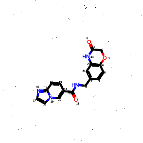 O=C1COc2ccc(CNC(=O)c3ccc4nccn4c3)cc2N1